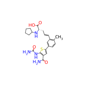 Cc1ccc(-c2cc(C(N)=O)c(NC(N)=O)s2)cc1C=CC[C@H](NC1CCCC1)C(=O)O